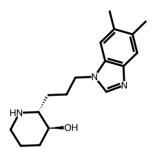 Cc1cc2ncn(CCC[C@H]3NCCC[C@@H]3O)c2cc1C